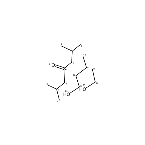 CC(C)CC(=O)CC(C)C.CCCCO.CCO